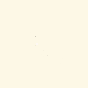 CN(C)c1ccc(-c2ccc(/C=C/C3=[N+](CCCCS(=O)(=O)[O-])c4ccc5ccccc5c4C3(C)C)s2)cc1